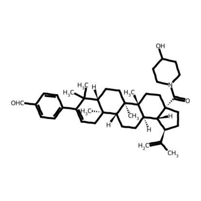 C=C(C)[C@@H]1CC[C@]2(C(=O)N3CCC(O)CC3)CC[C@]3(C)[C@H](CC[C@@H]4[C@@]5(C)CC=C(c6ccc(C=O)cc6)C(C)(C)[C@@H]5CC[C@]43C)[C@@H]12